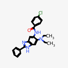 CCN(CC)c1cc2[nH]c(-c3ccccc3)nc2cc1NC(=O)c1ccc(Cl)cc1